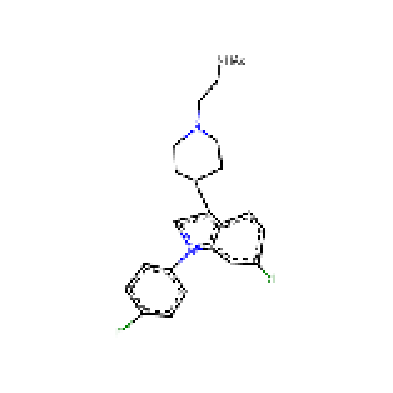 CC(=O)NCCN1CCC(c2cn(-c3ccc(F)cc3)c3cc(Cl)ccc23)CC1